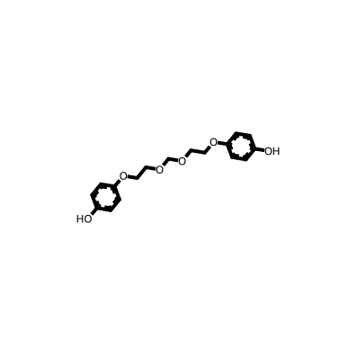 Oc1ccc(OCCOCOCCOc2ccc(O)cc2)cc1